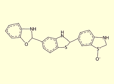 [O-][S+]1CNc2ccc(C3Nc4cc(C5Nc6ccccc6O5)ccc4S3)cc21